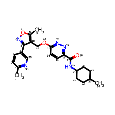 Cc1ccc(-c2noc(C)c2COc2ccc(C(=O)NC3CCC(C)CC3)nn2)cn1